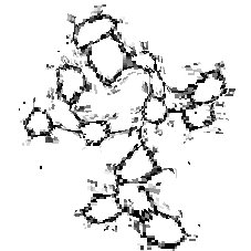 c1ccc(-c2ccc(N(c3ccc4c5ccccc5c5ccccc5c4c3)c3cc4c5cccc6cccc(c65)n5c6ccc7c8ccccc8ccc7c6c(c3)c45)cc2-c2ccccc2)cc1